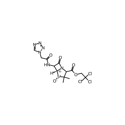 CC1(C)C(C(=O)OCC(Cl)(Cl)Cl)N2C(=O)C(NC(=O)Cn3cnnn3)[C@H]2[S+]1[O-]